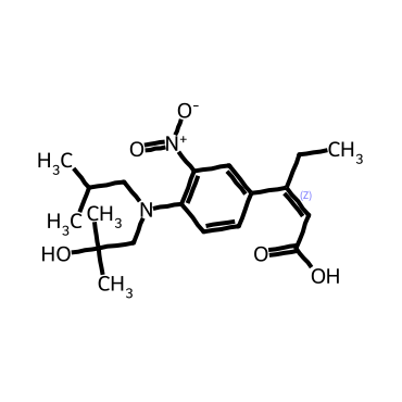 CC/C(=C/C(=O)O)c1ccc(N(CC(C)C)CC(C)(C)O)c([N+](=O)[O-])c1